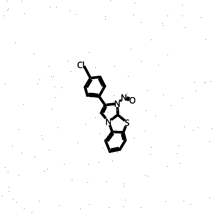 O=NN1C(c2ccc(Cl)cc2)=CN2c3ccccc3SC12